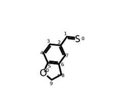 S=Cc1ccc2c(c1)[CH]CO2